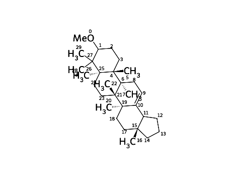 COC1CC[C@]2(C)[C@@]3(C)CC=C4C5CCC[C@]5(C)CC[C@@]4(C)[C@]3(C)CC[C@@]2(C)C1(C)C